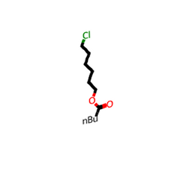 CCCCC(=O)OCCCCCCCl